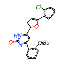 CC(C)COc1ccccc1-c1cc(C2CC=C(c3ccccc3Cl)O2)[nH]c(=O)n1